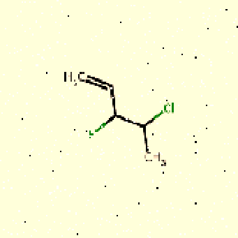 C=CC(F)C(C)Cl